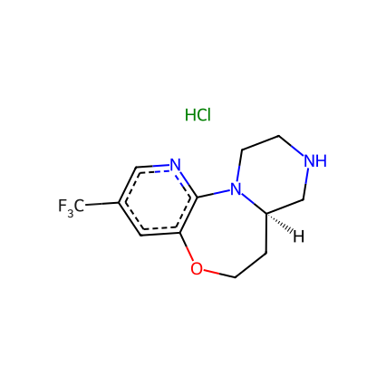 Cl.FC(F)(F)c1cnc2c(c1)OCC[C@@H]1CNCCN21